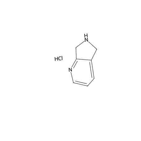 Cl.c1cnc2c(c1)CNC2